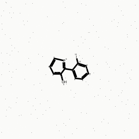 Oc1cccpc1-c1ccccc1I